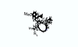 COc1ccc2nc(C3CC3)c3c(c2c1)C(F)(F)C[C@]1(C[C@H]2C(=O)N[C@]4(C(=O)NS(=O)(=O)C5(C)CC5)C[C@H]4/C=C\CCCCC[C@H](NC(=O)O[C@@H](C)C(C)C)C(=O)N2C1)O3